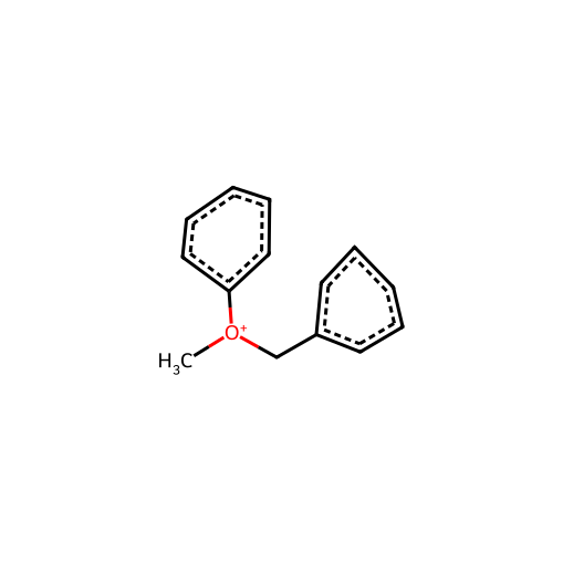 C[O+](Cc1ccccc1)c1ccccc1